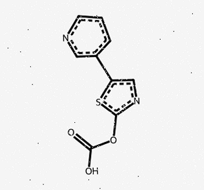 O=C(O)Oc1ncc(-c2cccnc2)s1